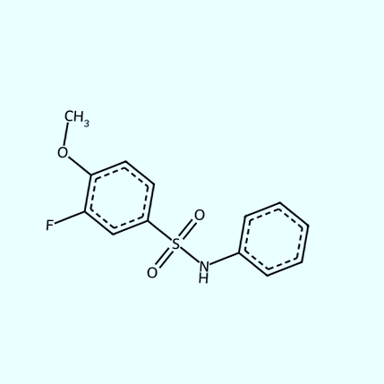 COc1ccc(S(=O)(=O)Nc2ccccc2)cc1F